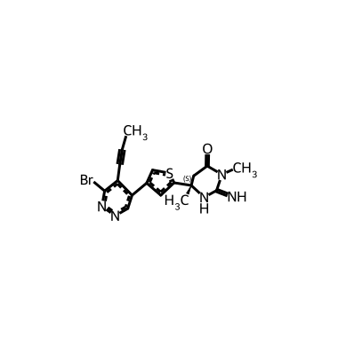 CC#Cc1c(-c2csc([C@]3(C)CC(=O)N(C)C(=N)N3)c2)cnnc1Br